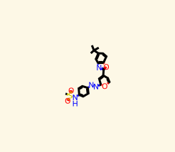 CC(C)(C)c1ccc2oc(C3=CC(N=Nc4ccc(NS(C)(=O)=O)cc4)OC=C3)nc2c1